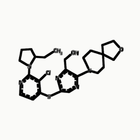 CCC1CCCN1c1nccc(Sc2cnc(N3CCC4(CCOC4)CC3)c(CO)n2)c1Cl